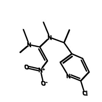 CC(c1ccc(Cl)nc1)N(C)/C(=C/[N+](=O)[O-])N(C)C